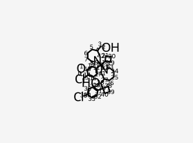 C=O.OCC1CCCCN(C(c2ccc(Cl)cc2)(C2CCC2)N2CCCCC(C(O)C3(c4ccc(Cl)cc4)CCC3)C2)C1